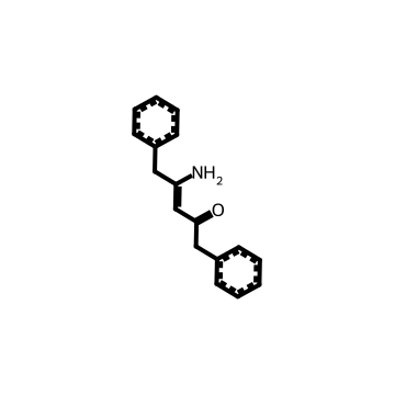 NC(=CC(=O)Cc1ccccc1)Cc1ccccc1